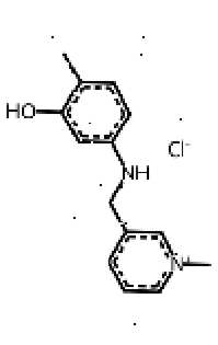 Cc1ccc(NCc2ccc[n+](C)c2)cc1O.[Cl-]